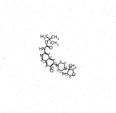 CC(C)(C)OC(=O)Nc1cc2cc(N3CCN(C4(C)COCC4F)CC3)c(Cl)cc2cn1